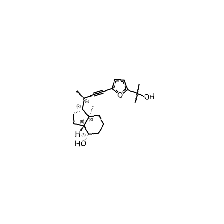 C[C@@H](C#Cc1ccc(C(C)(C)O)o1)[C@H]1CC[C@H]2[C@@H](O)CCC[C@]12C